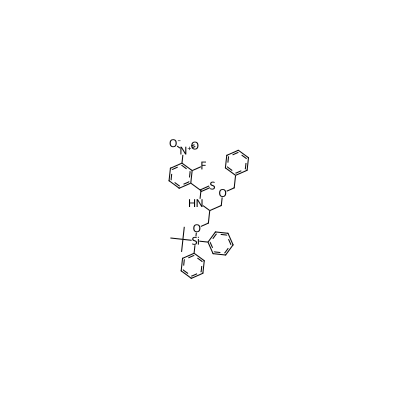 CC(C)(C)[Si](OCC(COCc1ccccc1)NC(=S)c1cccc([N+](=O)[O-])c1F)(c1ccccc1)c1ccccc1